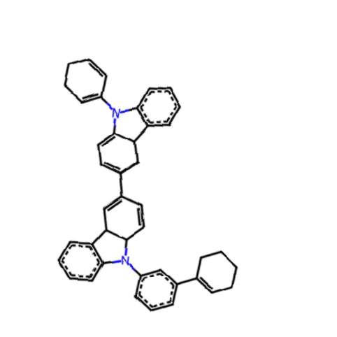 C1=CC(N2C3=CC=C(C4=CC5c6ccccc6N(c6cccc(C7=CCCCC7)c6)C5C=C4)CC3c3ccccc32)=CCC1